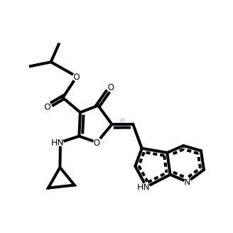 CC(C)OC(=O)C1=C(NC2CC2)O/C(=C\c2c[nH]c3ncccc23)C1=O